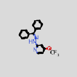 FC(F)(F)Oc1ccnc(NN=C(c2ccccc2)c2ccccc2)c1